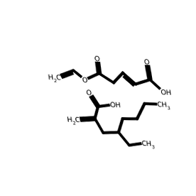 C=C(CC(CC)CCCC)C(=O)O.C=COC(=O)CC=CC(=O)O